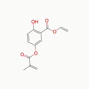 C=COC(=O)c1cc(OC(=O)C(=C)C)ccc1O